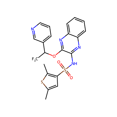 Cc1cc(S(=O)(=O)Nc2nc3ccccc3nc2OC(c2cccnc2)C(F)(F)F)c(C)s1